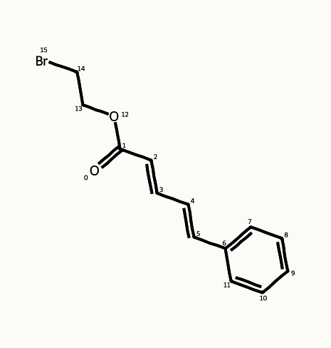 O=C(C=CC=Cc1ccccc1)OCCBr